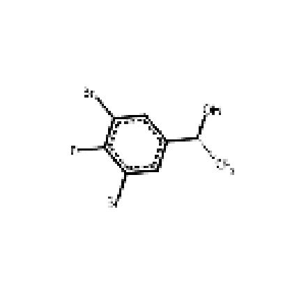 O[C@@H](c1cc(Br)c(F)c(Br)c1)C(F)(F)F